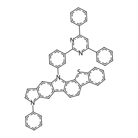 c1ccc(-c2cc(-c3ccccc3)nc(-c3cccc(-n4c5cc6ccn(-c7ccccc7)c6cc5c5ccc6c7ccccc7sc6c54)c3)n2)cc1